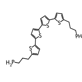 PCCCc1ccc(-c2ccc(-c3ccc(-c4ccc(CCCP)s4)s3)s2)s1